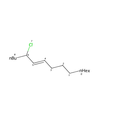 CCCCCCCCCC=CC(Cl)CCCC